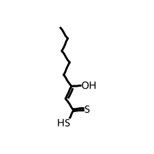 CCCCCC(O)=CC(=S)S